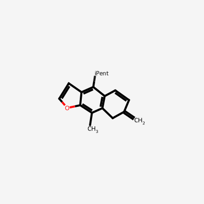 C=C1C=Cc2c(c(C)c3occc3c2C(C)CCC)C1